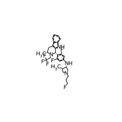 C[C@@H]1CN(CCCF)C[C@H]1Nc1cc(F)c([C@H]2c3[nH]c4ccccc4c3C[C@@H](C)N2CC(F)(F)F)c(F)c1